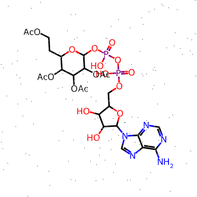 CC(=O)OCCC1OC(OP(=O)(O)OP(=O)(O)OCC2OC(n3cnc4c(N)ncnc43)C(O)C2O)C(OC(C)=O)C(OC(C)=O)C1OC(C)=O